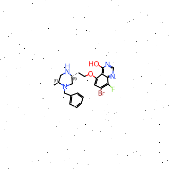 C[C@H]1CN[C@H](CCOc2cc(Br)c(F)c3ncnc(O)c23)CN1Cc1ccccc1